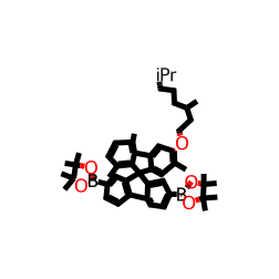 Cc1cc2c(cc1OCCC(C)CCCC(C)C)-c1c(C)ccc(C)c1C21c2cc(B3OC(C)(C)C(C)(C)O3)ccc2-c2ccc(B3OC(C)(C)C(C)(C)O3)cc21